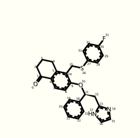 O=C1CCCc2c1ccc(O[C@@H](Cc1ncc[nH]1)c1ccccc1)c2CSc1ccc(F)cc1